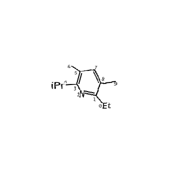 CCc1nc(C(C)C)c(C)cc1C